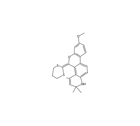 COc1ccc2c(c1)OC(=C1SCCCS1)c1c-2ccc2c1C(C)=CC(C)(C)N2